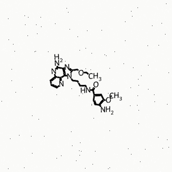 CCOCc1nc2c(N)nc3cccnc3c2n1CCCCNC(=O)c1ccc(N)c(OC)c1